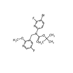 COc1ncc(F)cc1CN(C(=O)OC(C)(C)C)c1ccc(Br)c(F)n1